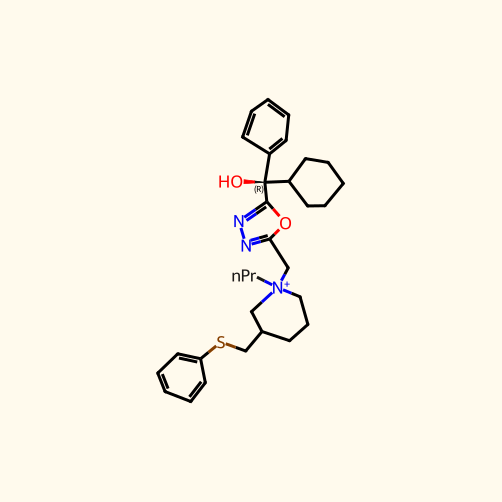 CCC[N+]1(Cc2nnc([C@](O)(c3ccccc3)C3CCCCC3)o2)CCCC(CSc2ccccc2)C1